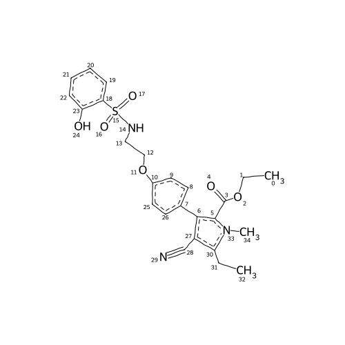 CCOC(=O)c1c(-c2ccc(OCCNS(=O)(=O)c3ccccc3O)cc2)c(C#N)c(CC)n1C